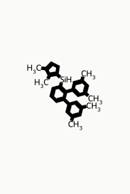 CC1=CCC([SiH2]c2cccc(-c3cc(C)cc(C)c3)c2-c2cc(C)cc(C)c2)=C1C